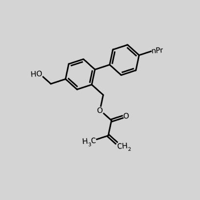 C=C(C)C(=O)OCc1cc(CO)ccc1-c1ccc(CCC)cc1